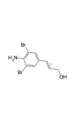 Nc1c(Br)cc(/C=C/CO)cc1Br